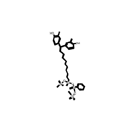 Cc1cc(C(CCCCCCCCCC[Si](C)(O[Si](C)(C)C)O[Si](C)(O[Si](C)(C)C)c2ccccc2)c2ccc(O)c(C)c2)ccc1O